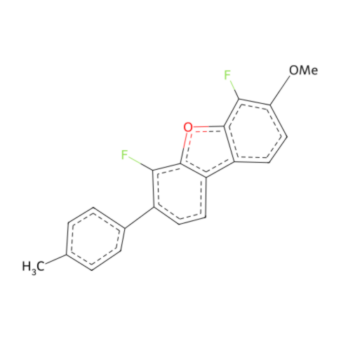 COc1ccc2c(oc3c(F)c(-c4ccc(C)cc4)ccc32)c1F